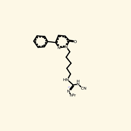 CCC/N=C(\NC#N)NCCCCCn1nc(-c2ccccc2)ccc1=O